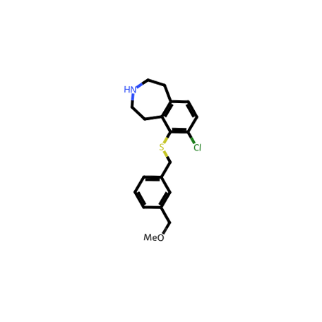 COCc1cccc(CSc2c(Cl)ccc3c2CCNCC3)c1